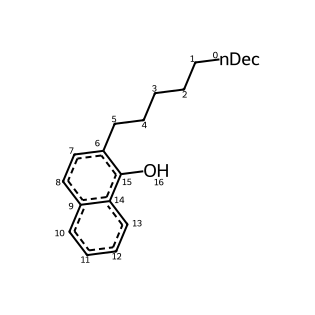 CCCCCCCCCCCCCCCc1ccc2ccccc2c1O